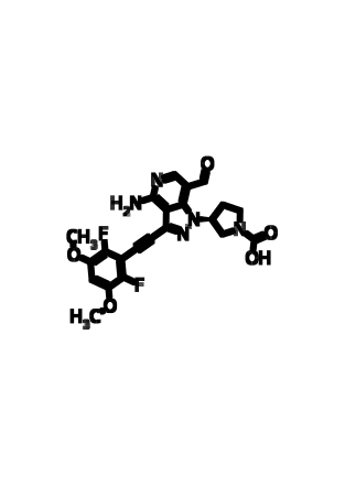 COc1cc(OC)c(F)c(C#Cc2nn([C@H]3CCN(C(=O)O)C3)c3c(C=O)cnc(N)c23)c1F